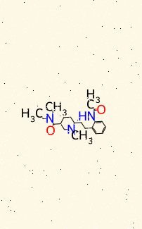 CCN(CC)C(=O)C1CCC(CCc2ccccc2NC(C)=O)N(C)C1